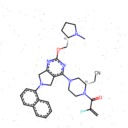 C=C(F)C(=O)N1CCN(c2nc(OC[C@@H]3CCCN3C)nc3c2CN(c2cccc4ccccc24)C3)C[C@@H]1CC#N